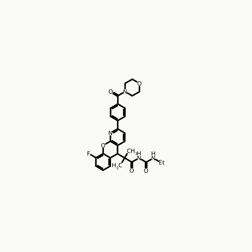 CCNC(=O)NC(=O)C(C)(C)C1c2ccc(-c3ccc(C(=O)N4CCOCC4)cc3)nc2Oc2c(F)cccc21